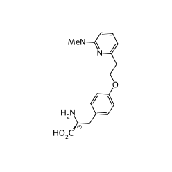 CNc1cccc(CCOc2ccc(C[C@H](N)C(=O)O)cc2)n1